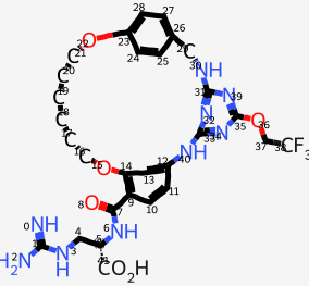 N=C(N)NC[C@H](NC(=O)c1ccc2cc1OCCCCCCOc1ccc(cc1)CNc1nc(nc(OCC(F)(F)F)n1)N2)C(=O)O